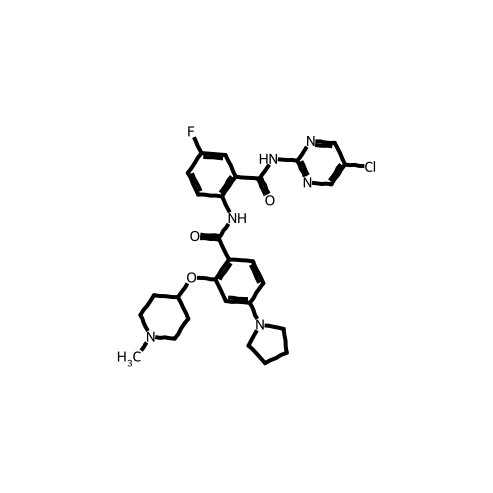 CN1CCC(Oc2cc(N3CCCC3)ccc2C(=O)Nc2ccc(F)cc2C(=O)Nc2ncc(Cl)cn2)CC1